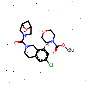 CC(C)(C)OC(=O)N1CCOC[C@H]1c1cc(Cl)cc2c1CN(C(=O)N1CC3CC(C1)O3)CC2